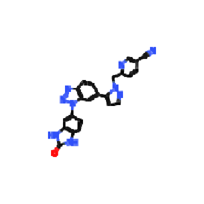 N#Cc1ccc(Cn2nccc2-c2ccc3nnn(-c4ccc5[nH]c(=O)[nH]c5c4)c3c2)nc1